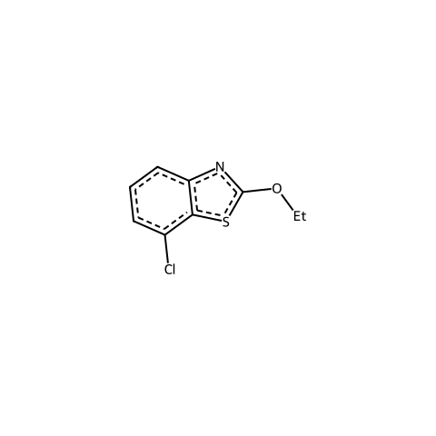 CCOc1nc2cccc(Cl)c2s1